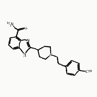 N#Cc1ccc(CCN2CCC(c3nc4c(C(N)=O)cccc4[nH]3)CC2)cc1